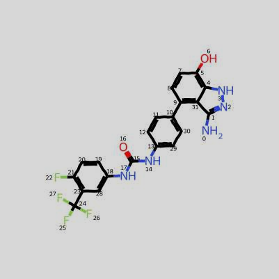 Nc1n[nH]c2c(O)ccc(-c3ccc(NC(=O)Nc4ccc(F)c(C(F)(F)F)c4)cc3)c12